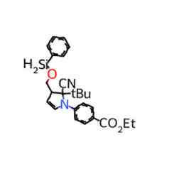 CCOC(=O)c1ccc(N2C=CC(CO[SiH2]c3ccccc3)C2(C#N)C(C)(C)C)cc1